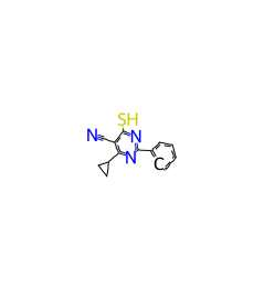 N#Cc1c(S)nc(-c2ccccc2)nc1C1CC1